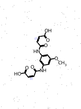 COc1cc(NC(=O)/C=C\C(=O)O)cc(NC(=O)/C=C\C(=O)O)c1